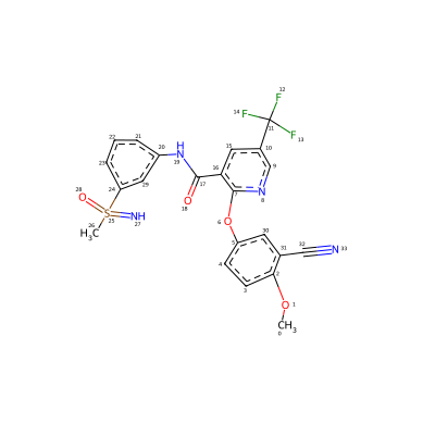 COc1ccc(Oc2ncc(C(F)(F)F)cc2C(=O)Nc2cccc(S(C)(=N)=O)c2)cc1C#N